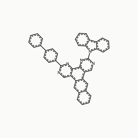 c1ccc(-c2ccc(-c3ncc4c5cc6ccccc6cc5c5cnc(-n6c7ccccc7c7ccccc76)nc5c4n3)cc2)cc1